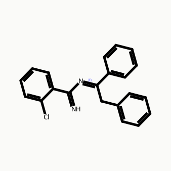 N=C(/N=C(\Cc1ccccc1)c1ccccc1)c1ccccc1Cl